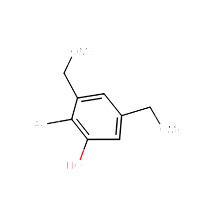 COCc1cc(O)c(C(C)=O)c(COC)c1